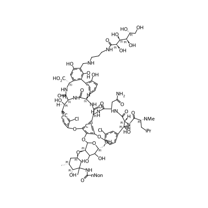 CCCCCCCCCC(=O)NC1(C)C[C@H](O[C@H]2C(Oc3c4cc5cc3Oc3ccc(cc3Cl)[C@@H](O)[C@@H](NC(=O)[C@@H](CC(C)C)NC)C(=O)NC(CC(N)=O)C(=O)N[C@H]5C(=O)N[C@@H]3C(=O)N[C@H](C(=O)N[C@H](C(=O)O)c5cc(O)c(CNCCCNC(=O)[C@H](O)[C@@H](O)[C@H](O)[C@H](O)CO)c(O)c5-c5cc3ccc5O)[C@H](O)c3ccc(c(Cl)c3)O4)O[C@H](CO)C(O)C2O)C[C@@H](C)[C@H]1O